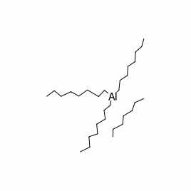 CCCCCCC.CCCCCCC[CH2][Al]([CH2]CCCCCCC)[CH2]CCCCCCC